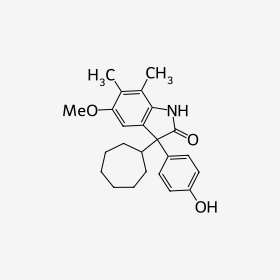 COc1cc2c(c(C)c1C)NC(=O)C2(c1ccc(O)cc1)C1CCCCCC1